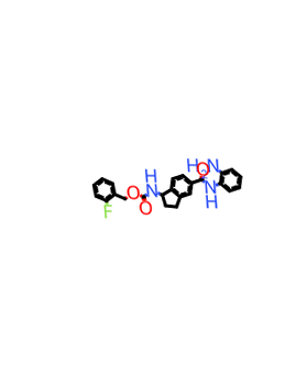 Nc1ccccc1NC(=O)c1ccc2c(c1)CCC2NC(=O)OCc1ccccc1F